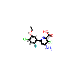 CCOc1cc(-c2cc(N)c(Cl)c(C(=O)O)n2)c(F)cc1Cl